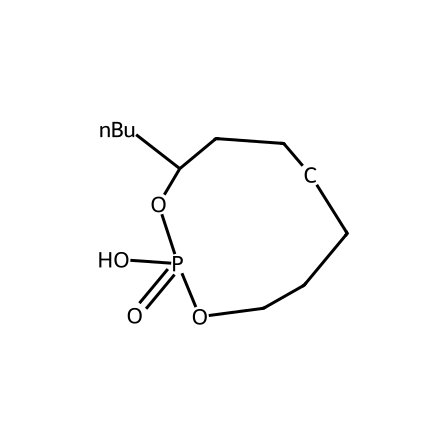 CCCCC1CCCCCCOP(=O)(O)O1